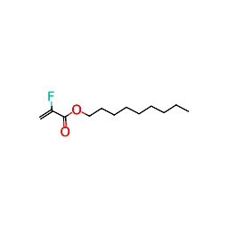 C=C(F)C(=O)OCCCCCCCCC